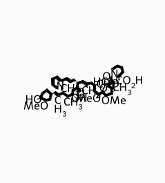 CO[C@@H](C[C@@H](C)C/C(C)=C/[C@@H](C/C=C/c1ccccn1)C(=O)C[C@H](O)[C@@H](C)[C@H](C)/C(C)=C/[C@@H]1CC[C@@H](O)[C@H](OC)C1)[C@H]1O[C@@](O)(C(=O)C(=O)N2CCCC[C@H]2C(=O)O)[C@H](C)C[C@@H]1OC